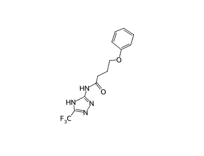 O=C(CCCOc1ccccc1)Nc1nnc(C(F)(F)F)[nH]1